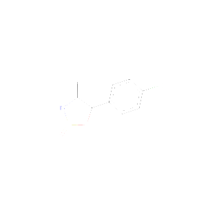 CC1NS(=O)OC1c1ccc(Cl)cc1